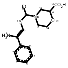 CCC(S/C=C(\N)c1ccccc1)N1CCOC(C(=O)O)C1